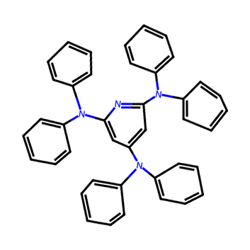 c1ccc(N(c2ccccc2)c2cc(N(c3ccccc3)c3ccccc3)nc(N(c3ccccc3)c3ccccc3)c2)cc1